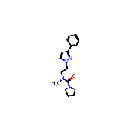 CN(CCn1ccc(-c2ccccc2)n1)C(=O)N1CCCC1